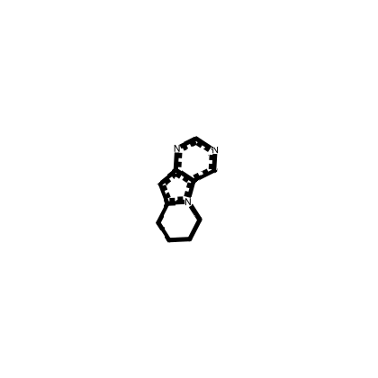 [c]1c2n(c3cncnc13)CCCC2